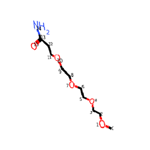 COCCOCCOCCOCCC(N)=O